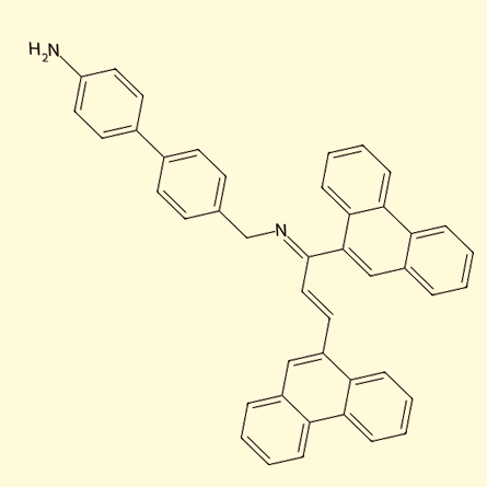 Nc1ccc(-c2ccc(C/N=C(\C=C\c3cc4ccccc4c4ccccc34)c3cc4ccccc4c4ccccc34)cc2)cc1